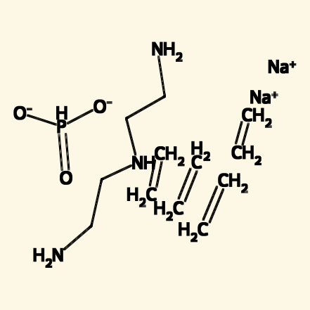 C=C.C=C.C=C.C=C.NCCNCCN.O=[PH]([O-])[O-].[Na+].[Na+]